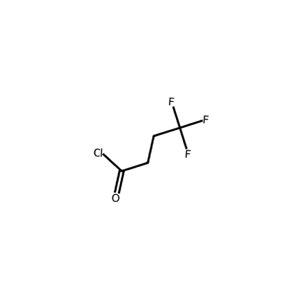 O=C(Cl)CCC(F)(F)F